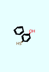 Oc1ccc(S)cc1.c1ccccc1